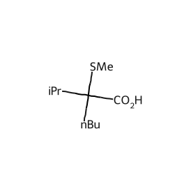 CCCCC(SC)(C(=O)O)C(C)C